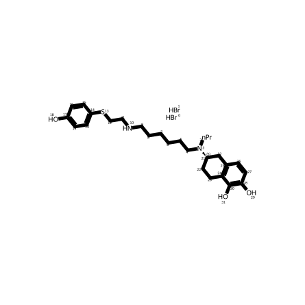 Br.Br.CCCN(CCCCCCNCCSc1ccc(O)cc1)[C@H]1CCc2c(ccc(O)c2O)C1